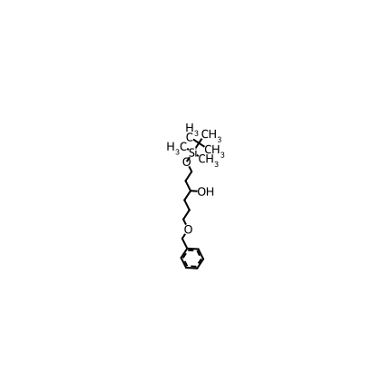 CC(C)(C)[Si](C)(C)OCCC(O)CCCOCc1ccccc1